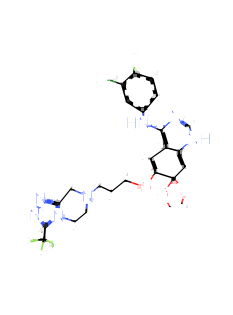 COC1(OC)C=C2NC=NC(Nc3ccc(F)c(Cl)c3)=C2C=C1OCCCN1CCn2c(nnc2C(F)(F)F)C1